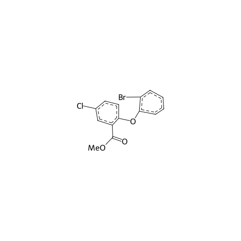 COC(=O)c1cc(Cl)ccc1Oc1ccccc1Br